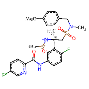 COc1ccc(CN(C)S(=O)(=O)C[C@](C)(N[S+]([O-])C(C)(C)C)c2cc(NC(=O)c3ccc(F)cn3)ccc2F)cc1